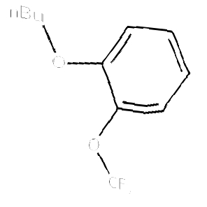 CCCCOc1ccccc1OC(F)(F)F